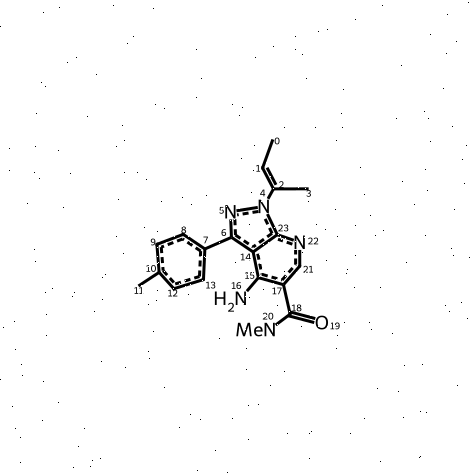 C/C=C(\C)n1nc(-c2ccc(C)cc2)c2c(N)c(C(=O)NC)cnc21